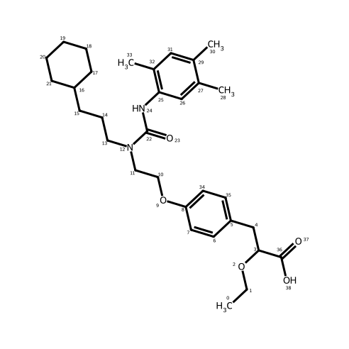 CCOC(Cc1ccc(OCCN(CCCC2CCCCC2)C(=O)Nc2cc(C)c(C)cc2C)cc1)C(=O)O